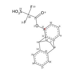 O=C(OCC1CC2c3ccccc3C1c1ccccc12)C(F)(F)S(=O)(=O)O